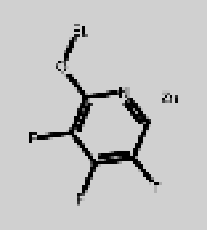 CCOc1ncc(F)c(F)c1F.[Zn]